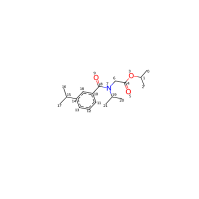 CC(C)OC(=O)CN(C(=O)c1cccc(C(C)C)c1)C(C)C